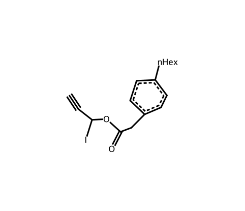 C#CC(I)OC(=O)Cc1ccc(CCCCCC)cc1